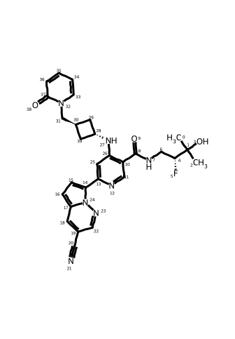 CC(C)(O)[C@H](F)CNC(=O)c1cnc(-c2ccc3cc(C#N)cnn23)cc1N[C@H]1C[C@H](Cn2ccccc2=O)C1